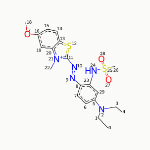 CCN(CC)c1ccc(N=Nc2sc3ccc(OC)cc3[n+]2C)c(NS(C)(=O)=O)c1